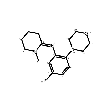 CN1CCCCC1=Nc1cc(F)ccc1N1CCOCC1